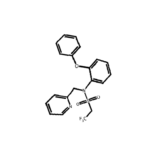 O=S(=O)(CC(F)(F)F)N(Cc1ccccn1)c1ccccc1Oc1ccccc1